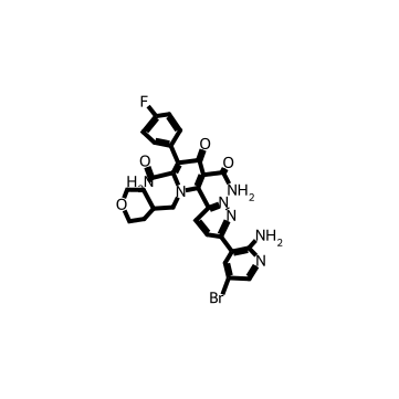 NC(=O)c1c(-c2ccc(-c3cc(Br)cnc3N)nn2)n(CC2CCOCC2)c(C(N)=O)c(-c2ccc(F)cc2)c1=O